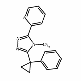 Cn1c(-c2ccccn2)nnc1C1(c2ccccc2)CC1